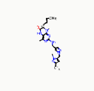 COCCC[C@@H]1C(=O)Nc2c(C)nc(NCc3cnn(Cc4cc(C(F)(F)F)nn4C)c3)nc2N1C